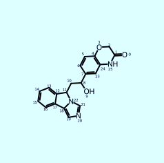 O=C1COc2ccc(C(O)CC3c4ccccc4-c4cncn43)cc2N1